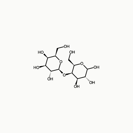 OC[C@H]1O[C@@H](O[C@@H]2[C@H](O)[C@@H](O)C(O)O[C@@H]2CO)[C@H](O)[C@@H](O)[C@H]1O